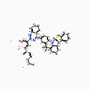 C=C(/C=C\C=C/C)/C(BC)=C/C(=C\C)c1nc(-c2ccc3c(c2)C(C)(C)c2cccc4c5c6ccccc6sc5n-3c24)c2ccccc2n1